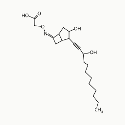 CCCCCCCCCC(O)C#CC1C(O)CC2C(=NOCC(=O)O)CC21